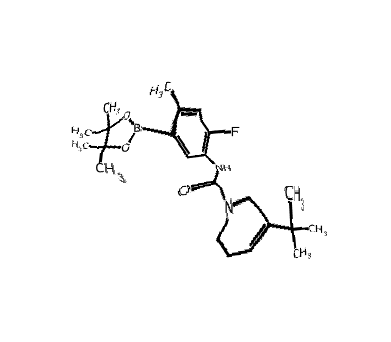 Cc1cc(F)c(NC(=O)N2CCC=C(C(C)(C)C)C2)cc1B1OC(C)(C)C(C)(C)O1